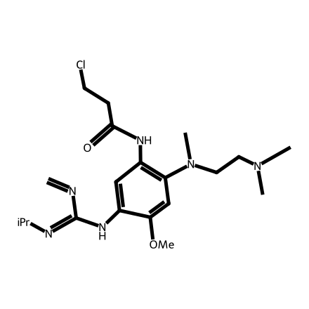 C=N/C(=N\C(C)C)Nc1cc(NC(=O)CCCl)c(N(C)CCN(C)C)cc1OC